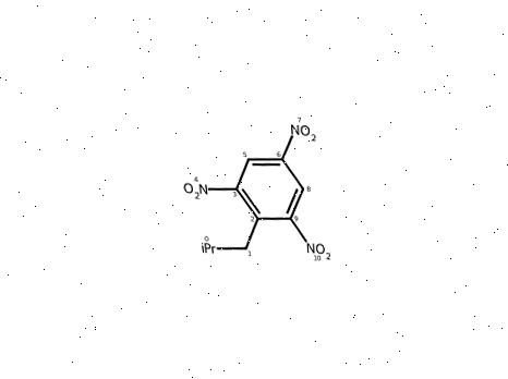 [CH2]C(C)Cc1c([N+](=O)[O-])cc([N+](=O)[O-])cc1[N+](=O)[O-]